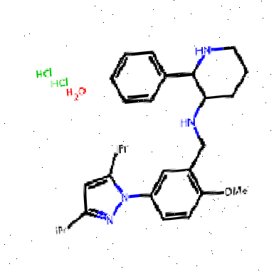 COc1ccc(-n2nc(C(C)C)cc2C(C)C)cc1CNC1CCCNC1c1ccccc1.Cl.Cl.O